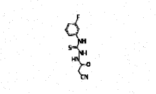 N#CCC(=O)NNC(=S)Nc1cccc(F)c1